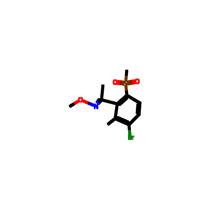 CON=C(C)c1c(S(C)(=O)=O)ccc(Br)c1C